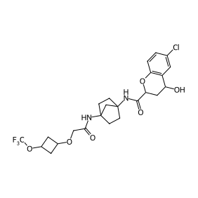 O=C(COC1CC(OC(F)(F)F)C1)NC12CCC(NC(=O)C3CC(O)c4cc(Cl)ccc4O3)(CC1)C2